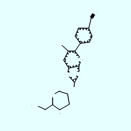 C#Cc1ccc(-c2nc3nc(O[C@H]4COC(CO)[C@@H](O)C4)[nH]c3cc2Cl)cc1